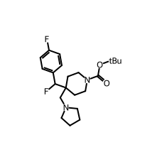 CC(C)(C)OC(=O)N1CCC(CN2CCCC2)(C(F)c2ccc(F)cc2)CC1